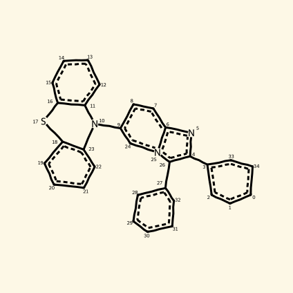 c1ccc(-c2nc3ccc(N4c5ccccc5Sc5ccccc54)cn3c2-c2ccccc2)cc1